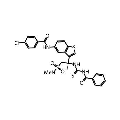 CNS(=O)(=O)C[C@](C)(NC(=S)NC(=O)c1ccccc1)c1csc2ccc(NC(=O)c3ccc(Cl)cc3)cc12